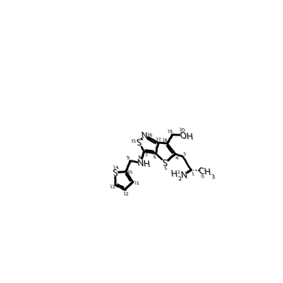 C[C@H](N)Cc1sc2c(NCc3cccs3)snc2c1CO